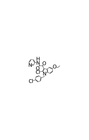 CCOc1ccc2c(c1)c(C(=O)C(=O)Nc1cccnc1)c(Cl)n2Cc1ccc(Cl)cc1